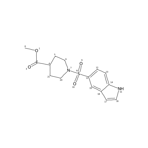 COC(=O)C1CCN(S(=O)(=O)c2ccc3[nH]ccc3c2)CC1